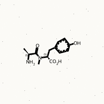 C[C@H](N)C(=O)N(C)[C@@H](Cc1ccc(O)cc1)C(=O)O